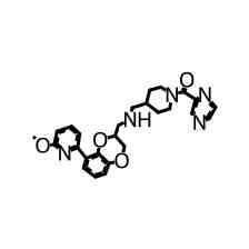 COc1cccc(-c2cccc3c2OC(CNCC2CCN(C(=O)c4cnccn4)CC2)CO3)n1